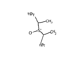 CCCC(C)[S+]([O-])C(C)CCC